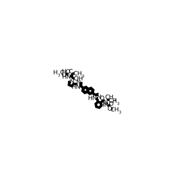 COC(=O)N[C@@H](C(C)C)C(O)N1CCCC1c1ncc(-c2ccc3cc(-c4cnc(C5CCCCC5C(=O)N(NC(=O)OC)C(C)C)[nH]4)ccc3c2)[nH]1